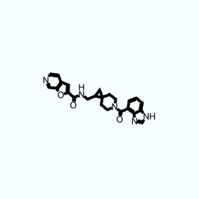 O=C(NCC1CC12CCN(C(=O)c1cccc3[nH]cnc13)CC2)c1cc2ccncc2o1